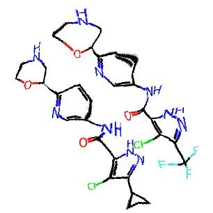 O=C(Nc1ccc([C@@H]2CNCCO2)nc1)c1[nH]nc(C(F)(F)F)c1Cl.O=C(Nc1ccc([C@@H]2CNCCO2)nc1)c1[nH]nc(C2CC2)c1Cl